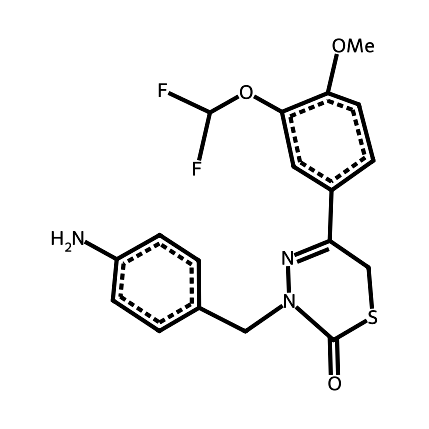 COc1ccc(C2=NN(Cc3ccc(N)cc3)C(=O)SC2)cc1OC(F)F